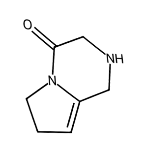 O=C1CNCC2=CCCN12